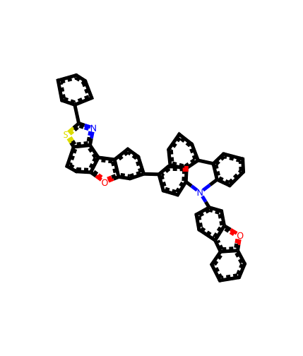 c1ccc(-c2nc3c(ccc4oc5cc(-c6ccc(N(c7ccc8c(c7)oc7ccccc78)c7ccccc7-c7ccccc7)cc6)ccc5c43)s2)cc1